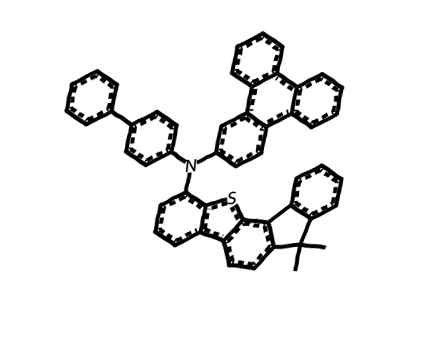 CC1(C)c2ccccc2-c2c1ccc1c2sc2c(N(c3ccc(-c4ccccc4)cc3)c3ccc4c5ccccc5c5ccccc5c4c3)cccc21